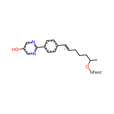 CCCCCOC(C)CCC/C=C/c1ccc(-c2ncc(O)cn2)cc1